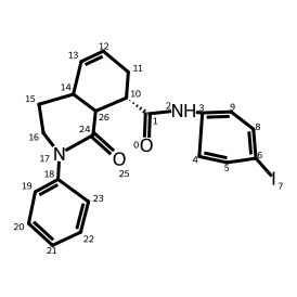 O=C(Nc1ccc(I)cc1)[C@H]1CC=CC2CCN(c3ccccc3)C(=O)C21